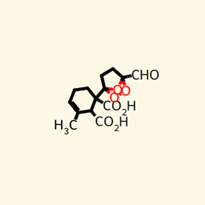 CC1=CCCC(C(=O)O)(C23CCC(C=O)(OO2)O3)C1C(=O)O